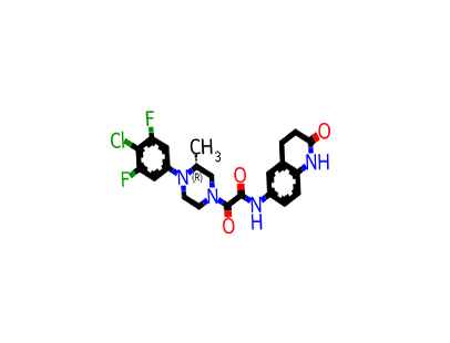 C[C@@H]1CN(C(=O)C(=O)Nc2ccc3c(c2)CCC(=O)N3)CCN1c1cc(F)c(Cl)c(F)c1